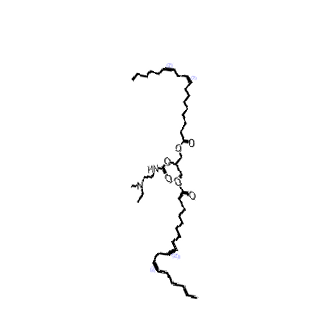 CCCCC/C=C\C/C=C\CCCCCCCC(=O)OCC(COC(=O)CCCCCCC/C=C\C/C=C\CCCCC)OC(=O)NCCN(C)CC